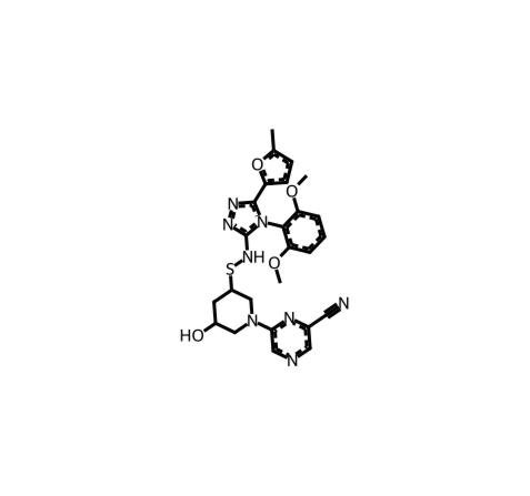 COc1cccc(OC)c1-n1c(NSC2CC(O)CN(c3cncc(C#N)n3)C2)nnc1-c1ccc(C)o1